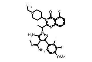 C/N=C(/N)c1c(-c2ccc(OC)c(F)c2F)nn(C(C)c2nc3cccc(Cl)c3c(=O)n2C2CCN(CC(F)(F)F)CC2)c1N